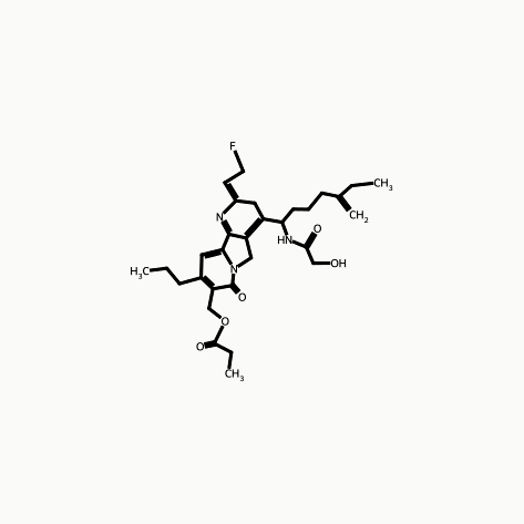 C=C(CC)CCCC(NC(=O)CO)C1=C2Cn3c(cc(CCC)c(COC(=O)CC)c3=O)C2=N/C(=C/CF)C1